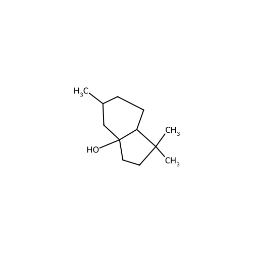 CC1CCC2C(C)(C)CCC2(O)C1